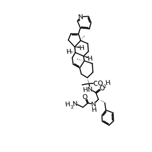 CC(NC(=O)[C@H](Cc1ccccc1)NC(=O)CN)(C(=O)O)[C@H]1CC[C@@]2(C)C(=CC[C@@H]3[C@@H]2CC[C@]2(C)C(c4cccnc4)=CC[C@@H]32)C1